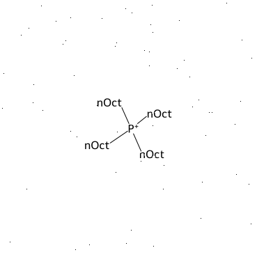 CCCCCCCC[P+](CCCCCCCC)(CCCCCCCC)CCCCCCCC